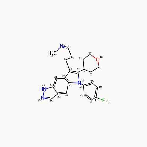 C/N=C\CCc1c(C2CCOCC2)n(-c2ccc(F)cc2)c2cc3cn[nH]c3cc12